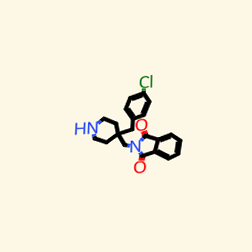 O=C1c2ccccc2C(=O)N1CC1(Cc2ccc(Cl)cc2)CCNCC1